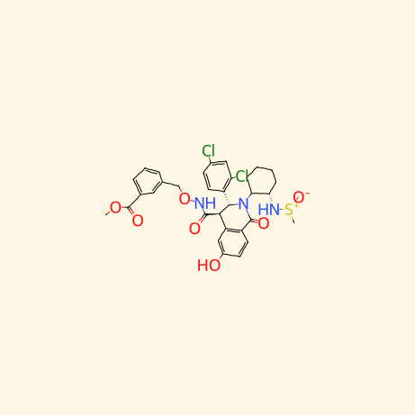 COC(=O)c1cccc(CONC(=O)[C@@H]2c3cc(O)ccc3C(=O)N(C3CCCC[C@@H]3N[S+](C)[O-])[C@H]2c2ccc(Cl)cc2Cl)c1